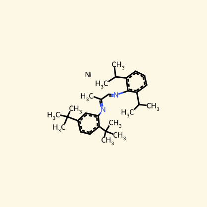 CC(C=Nc1c(C(C)C)cccc1C(C)C)=Nc1cc(C(C)(C)C)ccc1C(C)(C)C.[Ni]